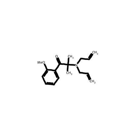 C=CCN(CC=C)C(C)(C)C(=O)c1ccccc1OC